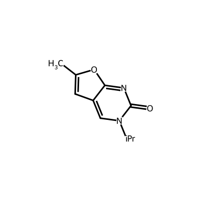 Cc1cc2cn(C(C)C)c(=O)nc2o1